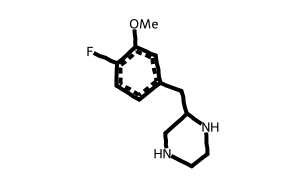 COc1cc(CC2CNCCN2)ccc1F